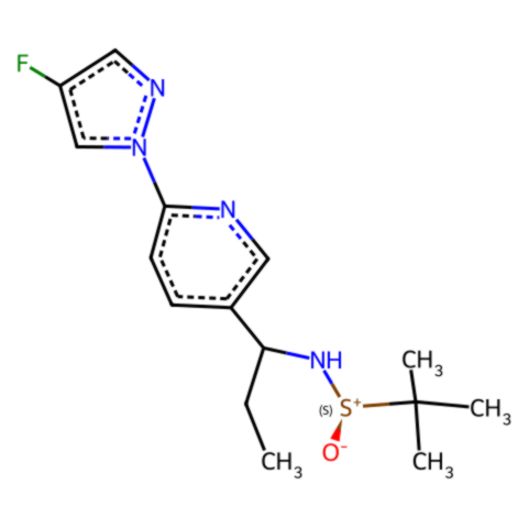 CCC(N[S@+]([O-])C(C)(C)C)c1ccc(-n2cc(F)cn2)nc1